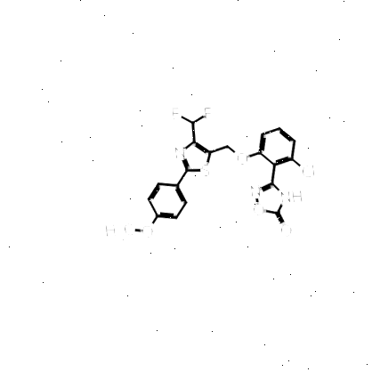 COc1ccc(-c2nc(C(F)F)c(COc3cccc(Cl)c3-c3noc(=O)[nH]3)s2)cc1